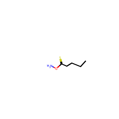 CCCCC(=S)ON